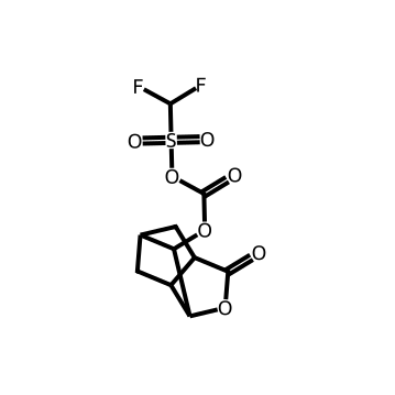 O=C(OC1C2CC3C(=O)OC1C3C2)OS(=O)(=O)C(F)F